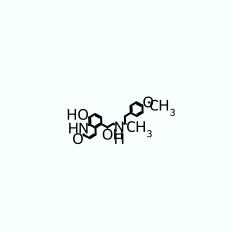 COc1ccc(C[C@H](C)NC[C@H](O)c2ccc(O)c3[nH]c(=O)ccc23)cc1